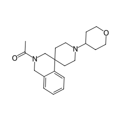 CC(=O)N1Cc2ccccc2C2(CCN(C3CCOCC3)CC2)C1